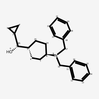 O[C@H](C1CC1)[C@H]1CC[C@H](N(Cc2ccccc2)Cc2ccccc2)CC1